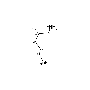 CCCCCC[C@H](C)CN